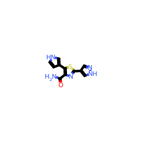 NC(=O)c1nc(-c2cn[nH]c2)sc1-c1cc[nH]c1